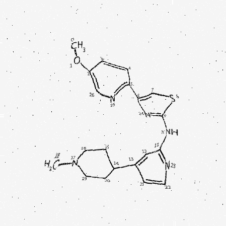 COc1ccc(-c2csc(Nc3cc(C4CCN(C)CC4)ccn3)n2)nc1